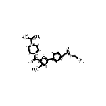 CCOC(=O)c1ccc(-c2nc(C)c(C(=O)N3CCN(C(C)C)CC3)s2)cc1